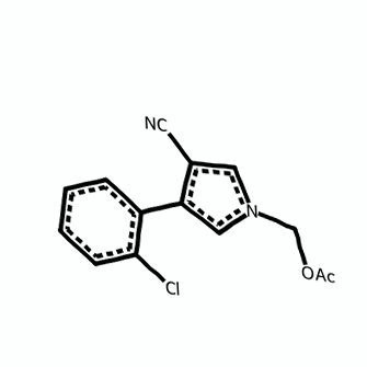 CC(=O)OCn1cc(C#N)c(-c2ccccc2Cl)c1